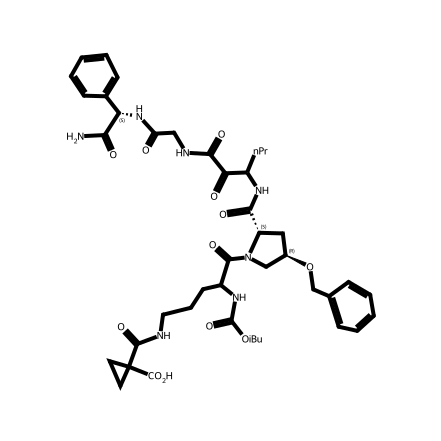 CCCC(NC(=O)[C@@H]1C[C@@H](OCc2ccccc2)CN1C(=O)C(CCCNC(=O)C1(C(=O)O)CC1)NC(=O)OCC(C)C)C(=O)C(=O)NCC(=O)N[C@H](C(N)=O)c1ccccc1